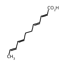 CC=CC=CCCC=CC=CC(=O)O